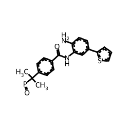 CC(C)(P=O)c1ccc(C(=O)Nc2cc(-c3cccs3)ccc2N)cc1